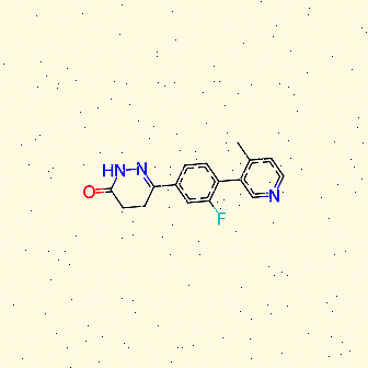 Cc1ccncc1-c1ccc(C2=NNC(=O)CC2)cc1F